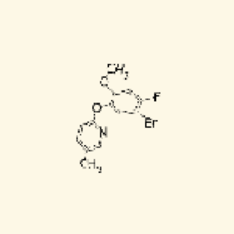 COc1cc(F)c(Br)cc1Oc1ccc(C)cn1